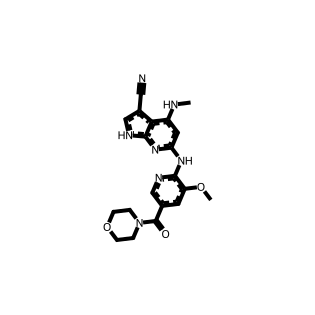 CNc1cc(Nc2ncc(C(=O)N3CCOCC3)cc2OC)nc2[nH]cc(C#N)c12